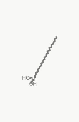 CCCCCCCCCCCCCCCCCCCCCCCCCCC=CN(CCO)CCO